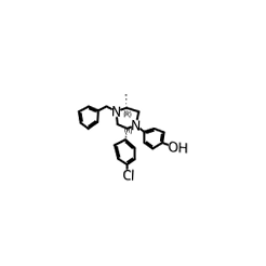 C[C@@H]1CN(c2ccc(O)cc2)[C@H](c2ccc(Cl)cc2)CN1Cc1ccccc1